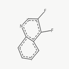 Fc1[c]nc2cc[c]cc2c1F